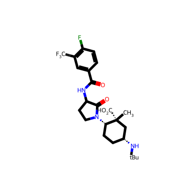 CC(C)(C)N[C@@H]1CC[C@H](N2CCC(NC(=O)c3ccc(F)c(C(F)(F)F)c3)C2=O)[C@](C)(C(=O)O)C1